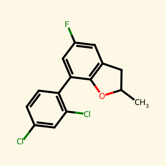 CC1Cc2cc(F)cc(-c3ccc(Cl)cc3Cl)c2O1